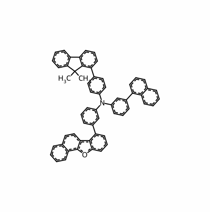 CC1(C)c2ccccc2-c2cccc(-c3ccc(N(c4cccc(-c5cccc6ccccc56)c4)c4cccc(-c5cccc6oc7c8ccccc8ccc7c56)c4)cc3)c21